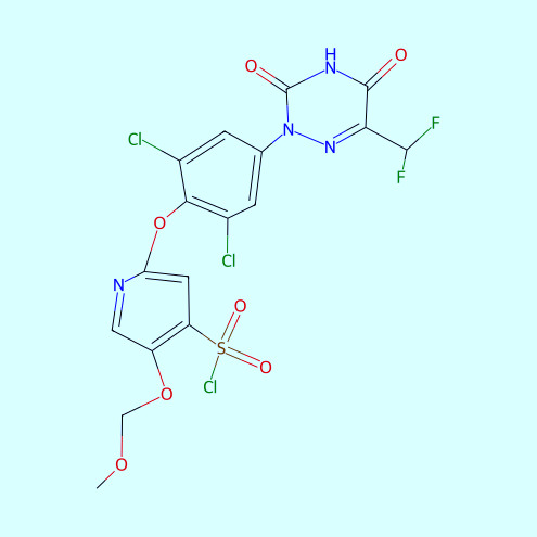 COCOc1cnc(Oc2c(Cl)cc(-n3nc(C(F)F)c(=O)[nH]c3=O)cc2Cl)cc1S(=O)(=O)Cl